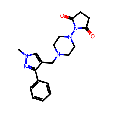 Cn1cc(CN2CCN(N3C(=O)CCC3=O)CC2)c(-c2ccccc2)n1